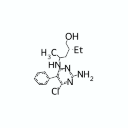 CC[C@@H](CO)CC(C)Nc1nc(N)nc(Cl)c1-c1ccccc1